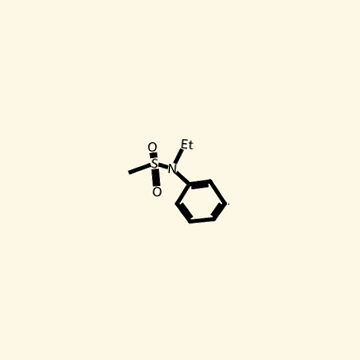 CCN(c1c[c]ccc1)S(C)(=O)=O